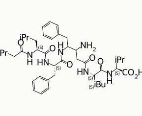 CC[C@H](C)[C@H](NC(=O)CC(N)C(Cc1ccccc1)NC(=O)[C@H](Cc1ccccc1)NC(=O)[C@H](CC(C)C)NC(=O)CC(C)C)C(=O)N[C@H](C(=O)O)C(C)C